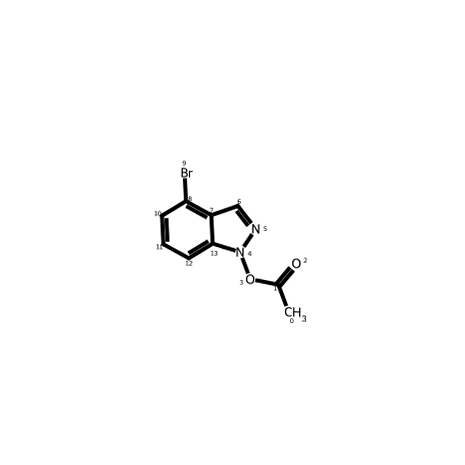 CC(=O)On1ncc2c(Br)cccc21